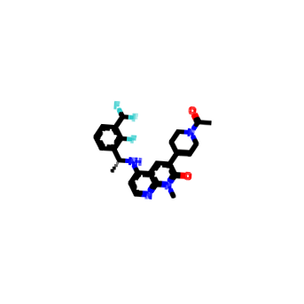 CC(=O)N1CC=C(c2cc3c(N[C@H](C)c4cccc(C(F)F)c4F)ccnc3n(C)c2=O)CC1